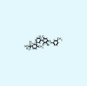 Cc1cccc(COc2cc(C)n(-c3ccnc(-c4nc(C(C)(C)O)ncc4C)c3)c(=O)c2Br)c1